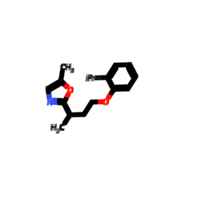 Cc1cnc(C(C)CCOc2ccccc2C(C)C)o1